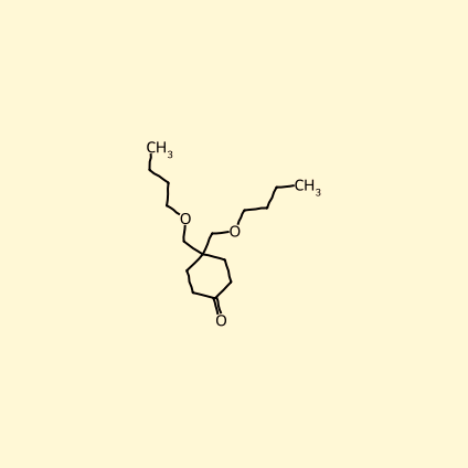 CCCCOCC1(COCCCC)CCC(=O)CC1